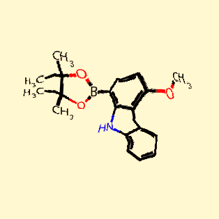 COc1ccc(B2OC(C)(C)C(C)(C)O2)c2[nH]c3ccccc3c12